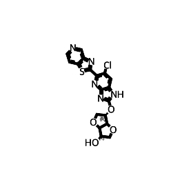 O[C@@H]1COC2C1OC[C@H]2Oc1nc2nc(-c3nc4cnccc4s3)c(Cl)cc2[nH]1